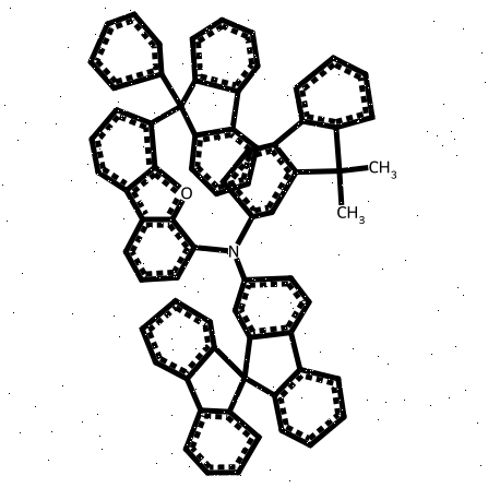 CC1(C)c2ccccc2-c2ccc(N(c3ccc4c(c3)C3(c5ccccc5-c5ccccc53)c3ccccc3-4)c3cccc4c3oc3c(C5(c6ccccc6)c6ccccc6-c6ccccc65)cccc34)cc21